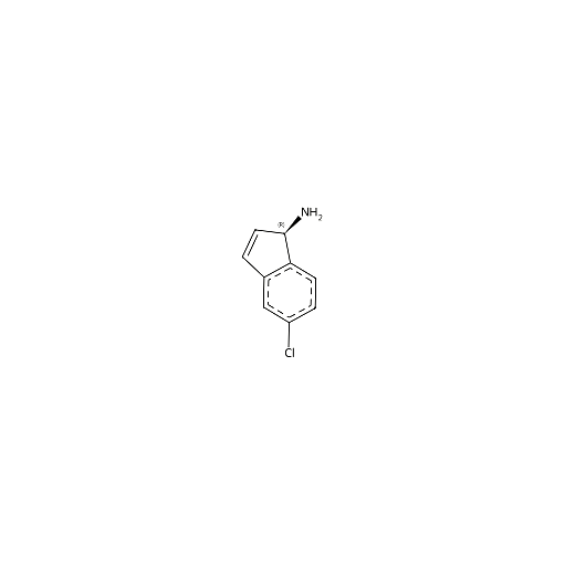 N[C@@H]1C=Cc2cc(Cl)ccc21